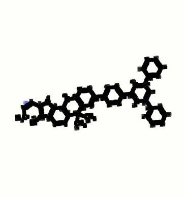 C/C=C\c1oc2c3c(ccc2c1CC)C(C)(C)c1cc(-c2ccc(-c4nc(-c5ccccc5)cc(-c5ccccc5)n4)cc2)ccc1O3